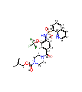 CC(C)COC(=O)N1CCN(C(=O)c2ccc(NS(=O)(=O)c3cccc4cccnc34)c(OC(F)(F)F)c2)CC1